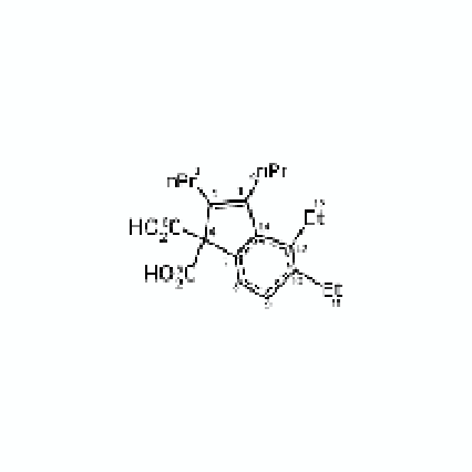 CCCC1=C(CCC)C(C(=O)O)(C(=O)O)c2ccc(CC)c(CC)c21